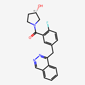 O=C(c1cc(Cc2nncc3ccccc23)ccc1F)N1CC[C@H](O)C1